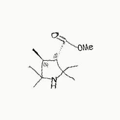 COC(=O)[C@H]1[C@H](C)C(C)(C)NC1(C)C